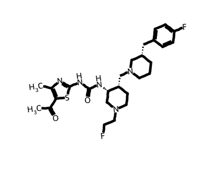 CC(=O)c1sc(NC(=O)N[C@H]2CN(CCF)CC[C@H]2CN2CCC[C@@H](Cc3ccc(F)cc3)C2)nc1C